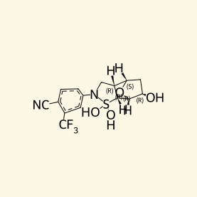 N#Cc1ccc(N2C[C@H]3[C@H]([C@@H]4O[C@H]3C[C@H]4O)S2(O)O)cc1C(F)(F)F